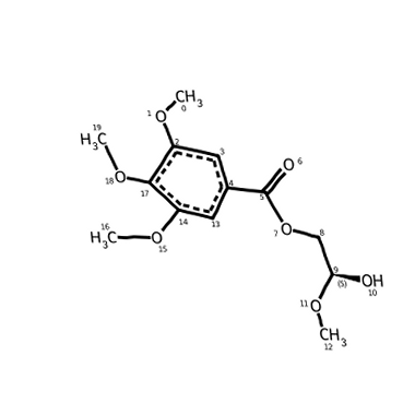 COc1cc(C(=O)OC[C@@H](O)OC)cc(OC)c1OC